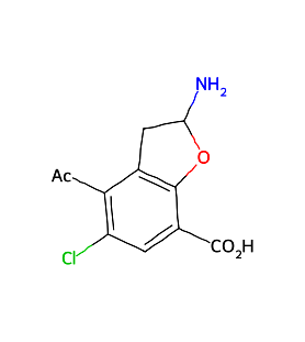 CC(=O)c1c(Cl)cc(C(=O)O)c2c1CC(N)O2